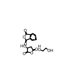 O=C1CC(O)C(=O)O1.O=C1OC(=O)c2ccccc21.OCCO